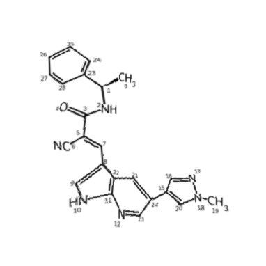 C[C@@H](NC(=O)/C(C#N)=C/c1c[nH]c2ncc(-c3cnn(C)c3)cc12)c1ccccc1